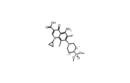 COP(=O)(OC)N1[C@H](C)CN(c2c(F)c(N)c3c(=O)c(C(=O)O)cn(C4CC4)c3c2F)C[C@@H]1C